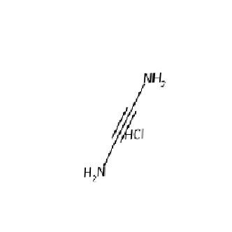 Cl.NC#CN